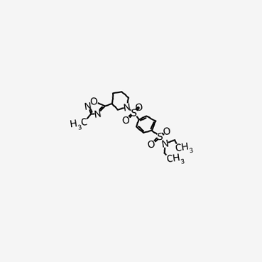 CCN(CC)S(=O)(=O)c1ccc(S(=O)(=O)N2CCCC(c3nc(C)no3)C2)cc1